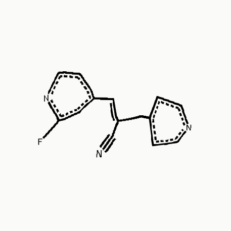 N#CC(=Cc1ccnc(F)c1)c1ccncc1